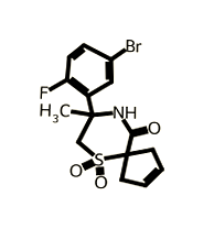 CC1(c2cc(Br)ccc2F)CS(=O)(=O)C2(CC=CC2)C(=O)N1